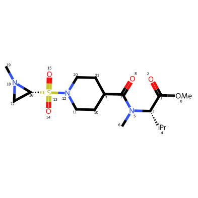 COC(=O)[C@H](C(C)C)N(C)C(=O)C1CCN(S(=O)(=O)[C@@H]2CN2C)CC1